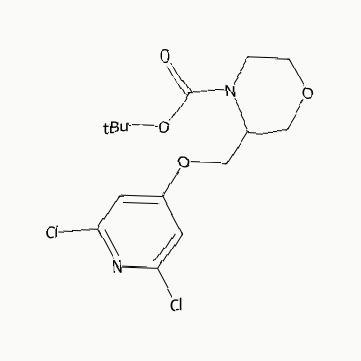 CC(C)(C)OC(=O)N1CCOCC1COc1cc(Cl)nc(Cl)c1